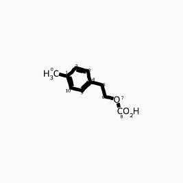 Cc1ccc(CCOC(=O)O)cc1